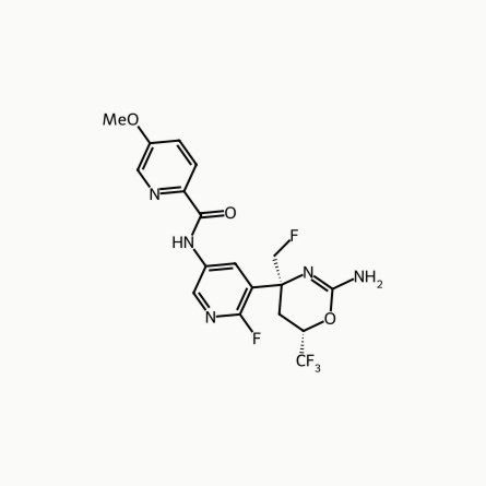 COc1ccc(C(=O)Nc2cnc(F)c([C@]3(CF)C[C@@H](C(F)(F)F)OC(N)=N3)c2)nc1